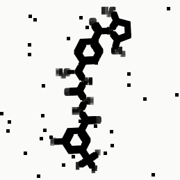 CC1CCC(C)N1C(=O)c1ccc([C@@H](C)NC(=O)NNC(=O)c2cc(F)cc(C(F)(F)F)c2)cc1